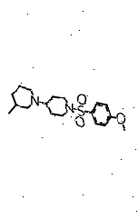 COc1ccc(S(=O)(=O)N2CCC(N3CCCC(C)C3)CC2)cc1